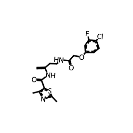 C=C(CCNC(=O)COc1ccc(Cl)c(F)c1)NC(=O)c1sc(C)nc1C